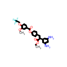 CCOC(=O)C(=Cc1ccc(OC(=O)c2ccc(OCC(F)(F)F)c(OC)c2)cc1)c1cc(N)cc(N)c1